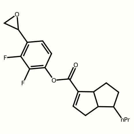 CCCC1CCC2C(C(=O)Oc3ccc(C4CO4)c(F)c3F)=CCC12